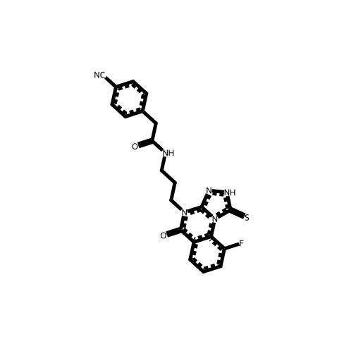 N#Cc1ccc(CC(=O)NCCCn2c(=O)c3cccc(F)c3n3c(=S)[nH]nc23)cc1